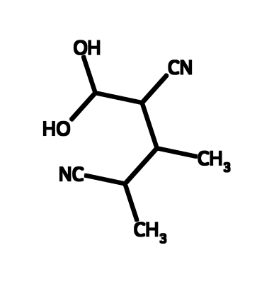 CC(C#N)C(C)C(C#N)C(O)O